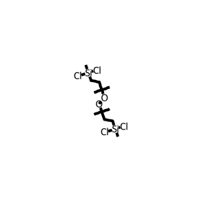 CC(C)(CC[Si](C)(Cl)Cl)OOC(C)(C)CC[Si](C)(Cl)Cl